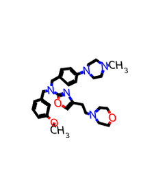 COc1cccc(CN(Cc2ccc(N3CCN(C)CC3)cc2)c2nc(CCN3CCOCC3)co2)c1